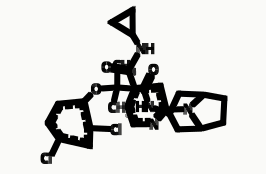 CC(C)(Oc1ccc(Cl)cc1Cl)C(=O)NC1CC2CCC(C1)N2c1cc(C(=O)NC2CC2)ccn1